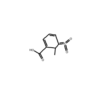 CC1C(C(=O)O)=CC=CC1=S(=O)=O